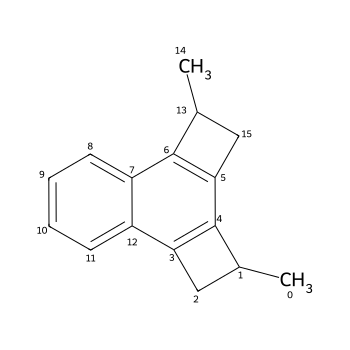 CC1Cc2c1c1c(c3ccccc23)C(C)C1